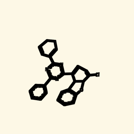 ClC1=CC=C(c2nc(C3=CCCC=C3)nc(-c3ccccc3)n2)C2c3ccccc3OC12